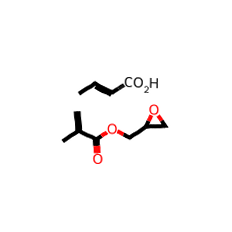 C/C=C/C(=O)O.C=C(C)C(=O)OCC1CO1